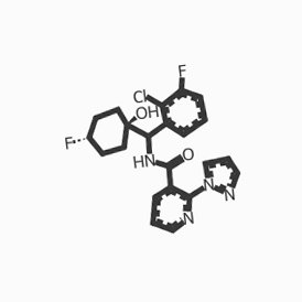 O=C(NC(c1cccc(F)c1Cl)[C@]1(O)CC[C@H](F)CC1)c1cccnc1-n1cccn1